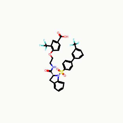 O=C(O)c1ccc(OCCNC(=O)[C@@H]2Cc3ccccc3N2S(=O)(=O)c2ccc(-c3cccc(C(F)(F)F)c3)cc2)c(C(F)(F)F)c1